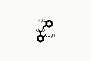 O=C(O)c1ccccc1C(=O)OCc1ccccc1C(F)(F)F